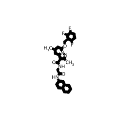 Cc1cc(OCc2c(F)ccc(F)c2F)n2nc(C)c(C(=O)NCC(=O)Nc3ccc4ccccc4c3)c2c1